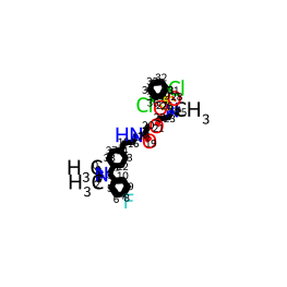 CN(C)C(c1ccc(F)cc1)C1CCC(CCNC(=O)COCCN(C)S(=O)(=O)c2c(Cl)cccc2Cl)CC1